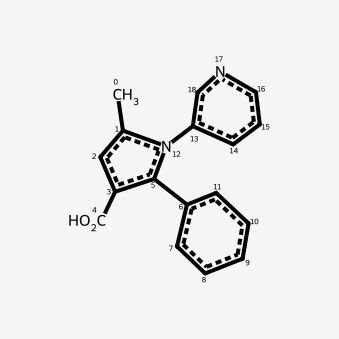 Cc1cc(C(=O)O)c(-c2ccccc2)n1-c1cccnc1